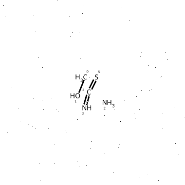 CO.N.N=C=S